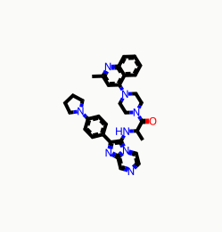 Cc1cc(N2CCN(C(=O)C(C)Nc3c(-c4ccc(N5CCCC5)cc4)nc4cnccn34)CC2)c2ccccc2n1